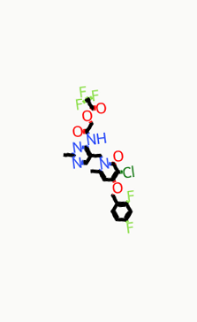 Cc1ncc(Cn2c(C)cc(OCc3ccc(F)cc3F)c(Cl)c2=O)c(NC(=O)COC(=O)C(F)(F)F)n1